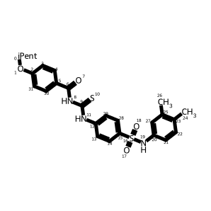 CCCC(C)Oc1ccc(C(=O)NC(=S)Nc2ccc(S(=O)(=O)Nc3ccc(C)c(C)c3)cc2)cc1